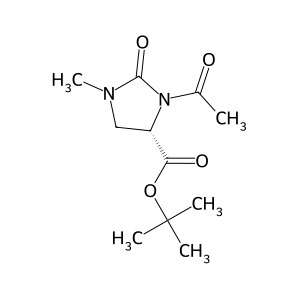 CC(=O)N1C(=O)N(C)C[C@H]1C(=O)OC(C)(C)C